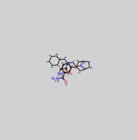 NCC(=O)N(CCN1C2CCC1CC(c1cccc(C(N)=O)c1)C2)CC1CCCCC1